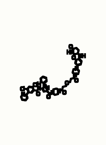 O=C1CCC(Nc2ccc(N3CCN(C(=O)CCOCCC(=O)N4CCN(C(=O)c5cc(NC(=O)c6cc(-c7ccccn7)c(Cl)cc6Cl)n(-c6ccccc6)n5)CC4)CC3)cc2)C(=O)N1